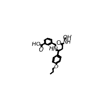 CCCOc1ccc(C(CC(=O)NO)NCc2cccc(C(=O)O)c2)cc1